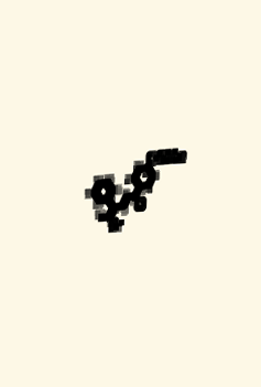 CSOC1CCC(C(=O)/C=C/C(=C(/C)Br)c2ccccc2)CC1